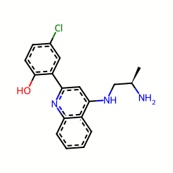 C[C@@H](N)CNc1cc(-c2cc(Cl)ccc2O)nc2ccccc12